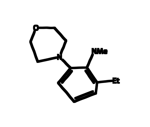 CCc1cccc(N2CCOCC2)c1NC